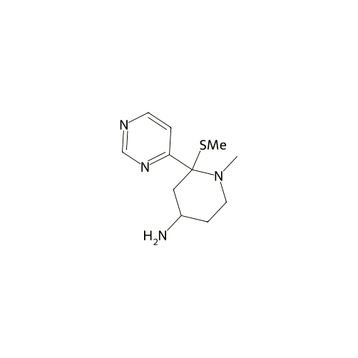 CSC1(c2ccncn2)CC(N)CCN1C